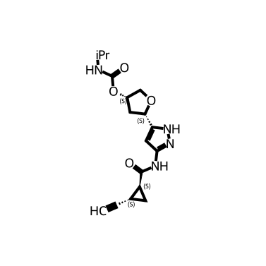 C#C[C@H]1C[C@@H]1C(=O)Nc1cc([C@@H]2C[C@H](OC(=O)NC(C)C)CO2)[nH]n1